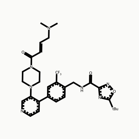 CN(C)CC=CC(=O)N1CCN(c2cnccc2-c2ccc(CNC(=O)c3noc(C(C)(C)C)n3)c(C(F)(F)F)c2)CC1